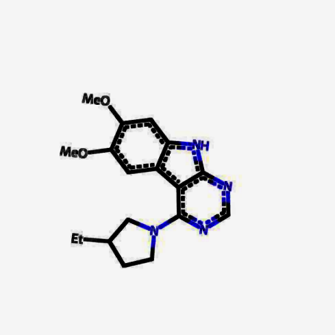 CCC1CCN(c2ncnc3[nH]c4cc(OC)c(OC)cc4c23)C1